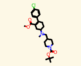 COC(=O)C1=C(c2ccc(Cl)cc2)CCC(N(C)CC2CCN(C(=O)OC(C)(C)C)CC2)C1